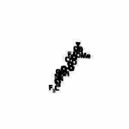 COc1cc(OC2CCc3c(-c4cccc(NC(=O)c5nc6c(n5C)CCN(CC(F)(F)F)C6)c4C)cccc32)c(Cl)c(F)c1CNOC(=O)C1CC1